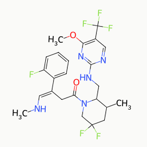 CN/C=C(\CC(=O)N1CC(F)(F)CC(C)C1CNc1ncc(C(F)(F)F)c(OC)n1)c1ccccc1F